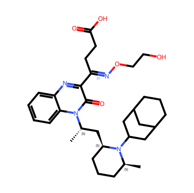 C[C@H]1CCC[C@@H](C[C@H](C)n2c(=O)c(/C(CCC(=O)O)=N/OCCO)nc3ccccc32)N1C1CC2CCCC(C2)C1